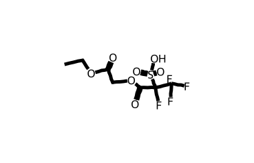 CCOC(=O)COC(=O)C(F)(C(F)(F)F)S(=O)(=O)O